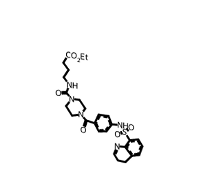 CCOC(=O)CCCNC(=O)N1CCN(C(=O)c2ccc(NS(=O)(=O)c3cccc4c3N=CCC4)cc2)CC1